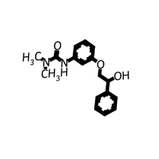 CN(C)C(=O)Nc1cccc(OCC(O)c2ccccc2)c1